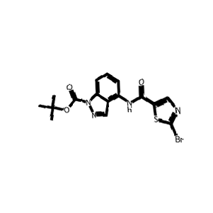 CC(C)(C)OC(=O)n1ncc2c(NC(=O)c3cnc(Br)s3)cccc21